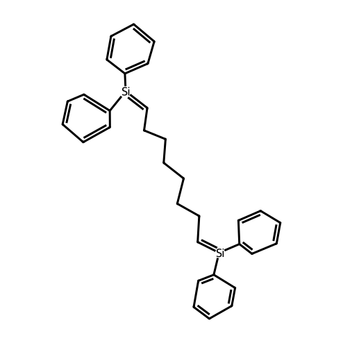 C(CCCCCCC=[Si](c1ccccc1)c1ccccc1)=[Si](c1ccccc1)c1ccccc1